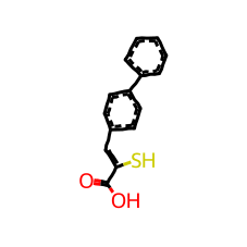 O=C(O)/C(S)=C/c1ccc(-c2ccccc2)cc1